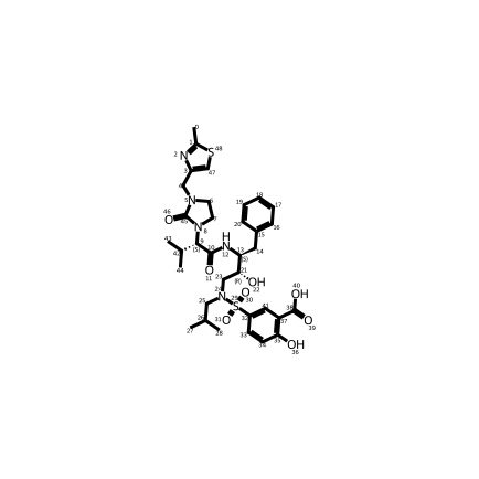 Cc1nc(CN2CCN([C@H](C(=O)N[C@@H](Cc3ccccc3)[C@H](O)CN(CC(C)C)S(=O)(=O)c3ccc(O)c(C(=O)O)c3)C(C)C)C2=O)cs1